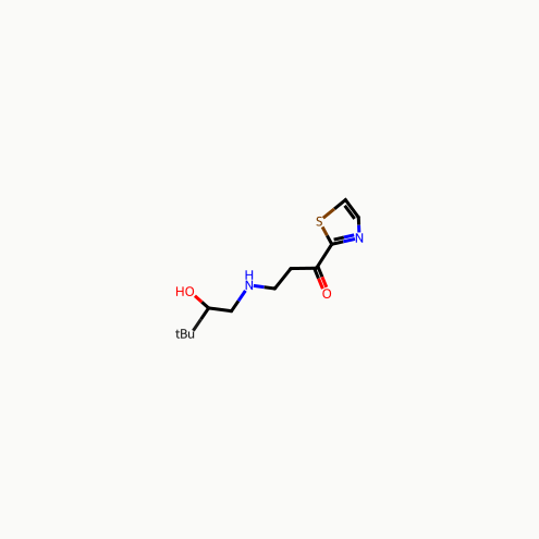 CC(C)(C)C(O)CNCCC(=O)c1nccs1